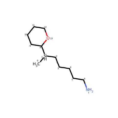 C[SiH](CCCCCN)C1CCCCO1